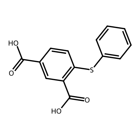 O=C(O)c1ccc(Sc2ccccc2)c(C(=O)O)c1